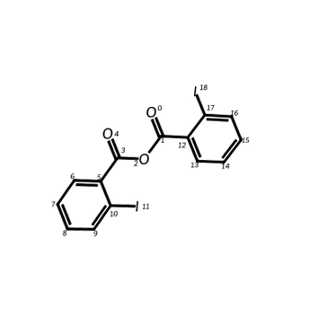 O=C(OC(=O)c1ccccc1I)c1ccccc1I